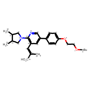 CCCCOCCOc1ccc(-c2cnc(N3CC(C)C(C)C3)c(/C=C(\C)C(=O)O)c2)cc1